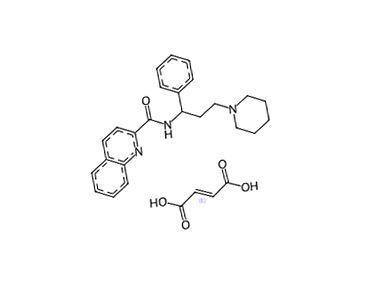 O=C(NC(CCN1CCCCC1)c1ccccc1)c1ccc2ccccc2n1.O=C(O)/C=C/C(=O)O